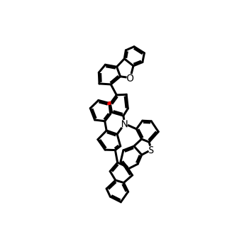 c1ccc(-c2ccc(-c3ccc4ccccc4c3)cc2N(c2ccc(-c3cccc4c3oc3ccccc34)cc2)c2cccc3sc4ccccc4c23)cc1